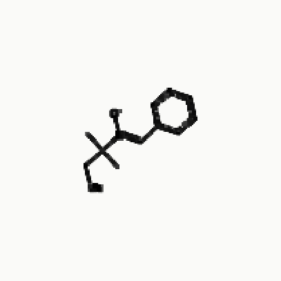 CC(C)(C)CC(C)(C)[N+]([O-])=Cc1ccccc1